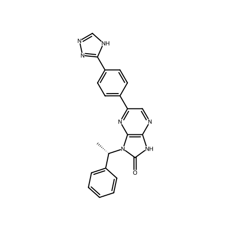 C[C@@H](c1ccccc1)n1c(=O)[nH]c2ncc(-c3ccc(-c4nnc[nH]4)cc3)nc21